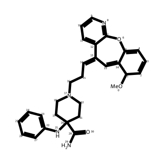 COC1C=CC=C2Oc3ncccc3C(=CCCN3CCC(Nc4ccccc4)(C(N)=O)CC3)C=C21